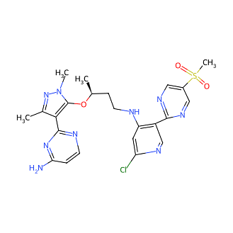 Cc1nn(C)c(O[C@@H](C)CCNc2cc(Cl)ncc2-c2ncc(S(C)(=O)=O)cn2)c1-c1nccc(N)n1